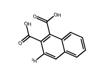 [2H]c1cc2ccccc2c(C(=O)O)c1C(=O)O